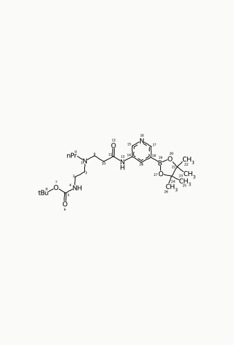 CCCN(CCNC(=O)OC(C)(C)C)CCC(=O)Nc1cncc(B2OC(C)(C)C(C)(C)O2)c1